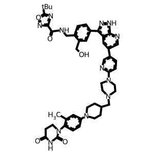 Cc1cc(N2CCC(CN3CCN(c4ccc(-c5cnc6[nH]nc(-c7ccc(CNC(=O)c8noc(C(C)(C)C)n8)c(CO)c7)c6c5)cn4)CC3)CC2)ccc1N1CCC(=O)NC1=O